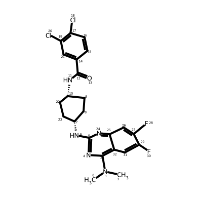 CN(C)c1nc(N[C@H]2CC[C@@H](NC(=O)c3ccc(Cl)c(Cl)c3)CC2)nc2cc(F)c(F)cc12